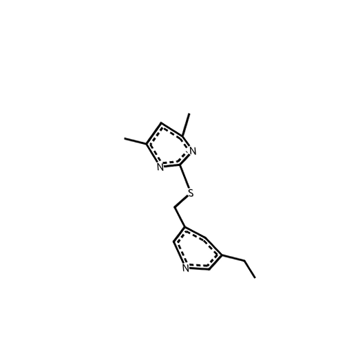 CCc1cncc(CSc2nc(C)cc(C)n2)c1